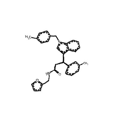 Cc1ccc(Cn2cc(C(CC(=O)NCc3ccco3)c3cccc(C)c3)c3ccccc32)cc1